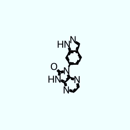 O=c1[nH]c2nccnc2n1-c1ccc2cn[nH]c2c1